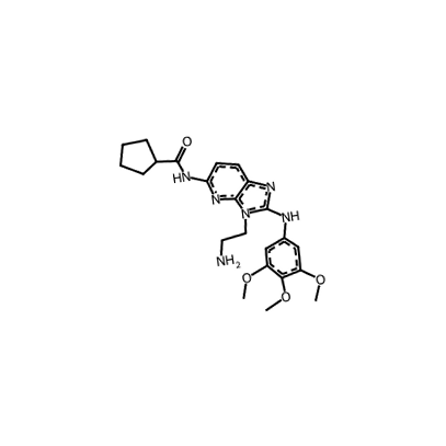 COc1cc(Nc2nc3ccc(NC(=O)C4CCCC4)nc3n2CCN)cc(OC)c1OC